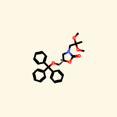 COC(C)(CN1C[C@@H](COC(c2ccccc2)(c2ccccc2)c2ccccc2)OC1=O)OC